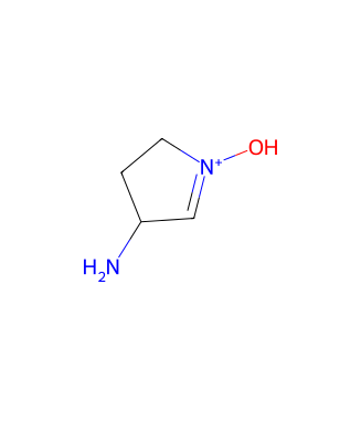 NC1C=[N+](O)CC1